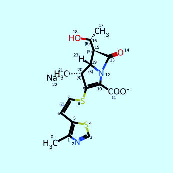 Cc1ncsc1/C=C\SC1=C(C(=O)[O-])N2C(=O)[C@H]([C@@H](C)O)[C@H]2[C@H]1C.[Na+]